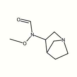 CON(C=O)C1CN2CCC1C2